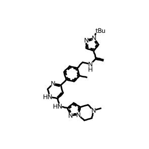 C=C(NCc1ccc(C2=NCNC(Nc3cc4n(n3)CCN(C)C4)=C2)cc1C)c1cnn(C(C)(C)C)c1